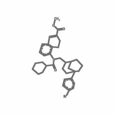 COC(=O)C1=Cc2cccc(N(CC3CCC4(c5ccc(Br)cc5)CCCC3C4)C(=O)C3CCCCC3)c2CC1